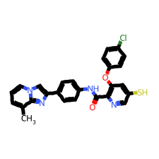 Cc1cccn2cc(-c3ccc(NC(=O)c4ncc(S)cc4Oc4ccc(Cl)cc4)cc3)nc12